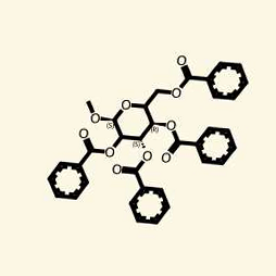 CO[C@H]1OC(COC(=O)c2ccccc2)[C@@H](OC(=O)c2ccccc2)[C@H](OC(=O)c2ccccc2)C1OC(=O)c1ccccc1